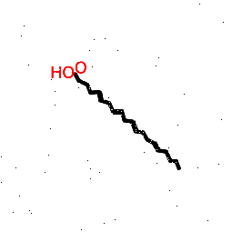 CCCC/C=C/CC/C=C/C/C=C/C/C=C/CCCC(=O)O